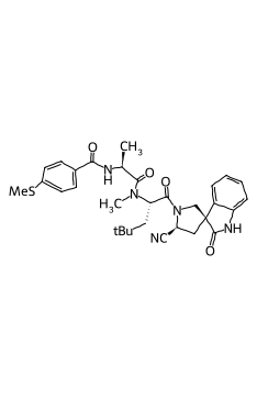 CSc1ccc(C(=O)N[C@@H](C)C(=O)N(C)[C@@H](CC(C)(C)C)C(=O)N2C[C@]3(C[C@H]2C#N)C(=O)Nc2ccccc23)cc1